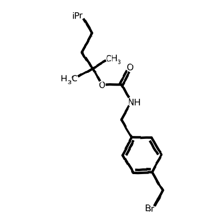 CC(C)CCC(C)(C)OC(=O)NCc1ccc(CBr)cc1